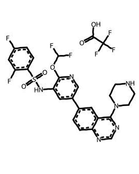 O=C(O)C(F)(F)F.O=S(=O)(Nc1cc(-c2ccc3ncnc(N4CCNCC4)c3c2)cnc1OC(F)F)c1ccc(F)cc1F